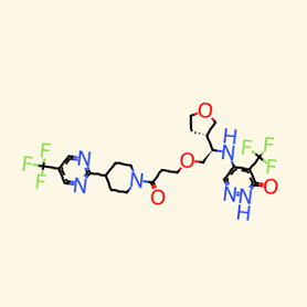 O=C(CCOC[C@H](Nc1cn[nH]c(=O)c1C(F)(F)F)[C@@H]1CCOC1)N1CCC(c2ncc(C(F)(F)F)cn2)CC1